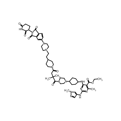 CCOC(=O)c1c(C)nc(Nc2cnn(C)c2)nc1NC1CCC(N2CCN(C(=O)C(C)(C)CC(=O)N3CCC(CCN4CCN(c5ccc6c(c5)C(=O)N(C5CCC(=O)NC5=O)C6=O)CC4)CC3)CC2)CC1